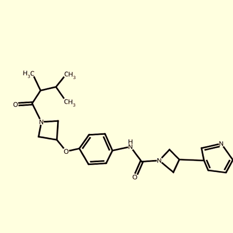 CC(C)C(C)C(=O)N1CC(Oc2ccc(NC(=O)N3CC(c4cccnc4)C3)cc2)C1